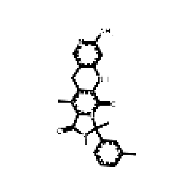 Cc1cccc(C2(C)NC(=O)c3c(C)c4c(c(=O)n32)Nc2cc(N)ncc2C4)c1